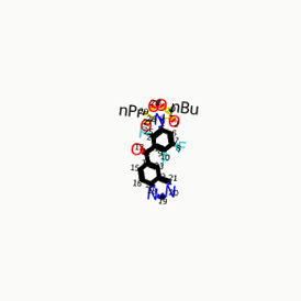 CCCCS(=O)(=O)N(c1cc(F)c(F)c(C(=O)c2ccc3ncncc3c2)c1F)S(=O)(=O)CCC